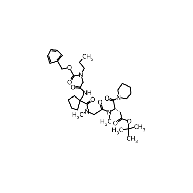 CCCN(CC(=O)NC1(C(=O)N(C)CC(=O)N(C)[C@@H](CC(=O)OC(C)(C)C)C(=O)N2CCCCC2)CCCC1)C(=O)OCc1ccccc1